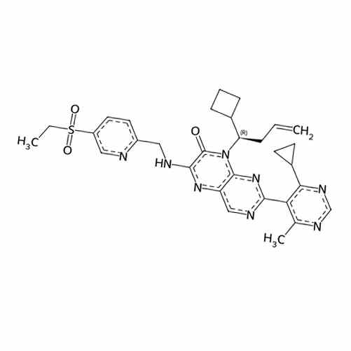 C=CC[C@H](C1CCC1)n1c(=O)c(NCc2ccc(S(=O)(=O)CC)cn2)nc2cnc(-c3c(C)ncnc3C3CC3)nc21